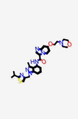 Cc1nn(Cc2csc(C(C)C)n2)c2cccc(NC(=O)c3cnc4cc(OCCN5CCOCC5)ccn34)c12